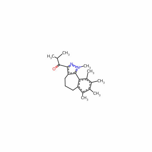 Cc1c(C)c(C)c2c(c1C)CCCc1c(C(=O)C(C)C)nn(C)c1-2